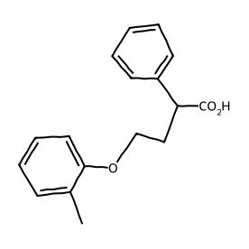 Cc1ccccc1OCCC(C(=O)O)c1ccccc1